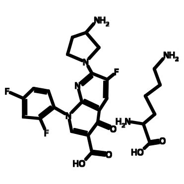 NC1CCN(c2nc3c(cc2F)c(=O)c(C(=O)O)cn3-c2ccc(F)cc2F)C1.NCCCCC(N)C(=O)O